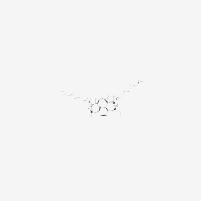 O=C(O)c1ccc(C(=O)O)c2c(C(=O)NCCCCCBr)ccc(C(=O)NCCCCCBr)c12